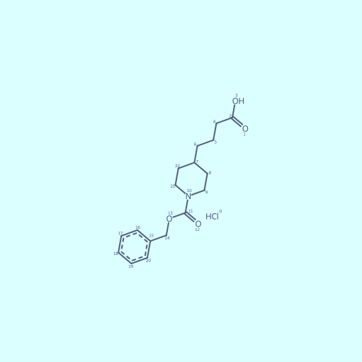 Cl.O=C(O)CCCC1CCN(C(=O)OCc2ccccc2)CC1